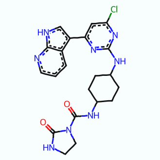 O=C1NCCN1C(=O)NC1CCC(Nc2nc(Cl)cc(-c3c[nH]c4ncccc34)n2)CC1